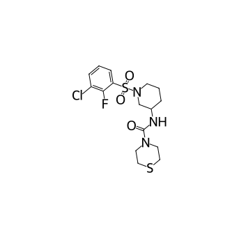 O=C(NC1CCCN(S(=O)(=O)c2cccc(Cl)c2F)C1)N1CCSCC1